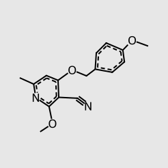 COc1ccc(COc2cc(C)nc(OC)c2C#N)cc1